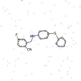 N#Cc1ccc(F)cc1CNc1ccc(Sc2ccccc2)cc1